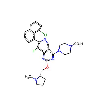 CN1CCC[C@H]1COc1nc(N2CCN(C(=O)O)CC2)c2cnc(-c3cccc4cccc(Cl)c34)c(F)c2n1